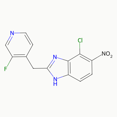 O=[N+]([O-])c1ccc2[nH]c(Cc3ccncc3F)nc2c1Cl